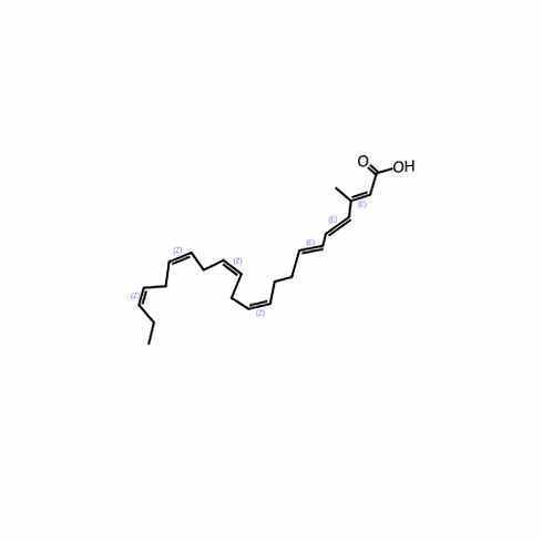 CC/C=C\C/C=C\C/C=C\C/C=C\CC/C=C/C=C/C(C)=C/C(=O)O